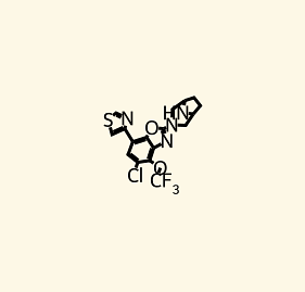 FC(F)(F)Oc1c(Cl)cc(-c2cscn2)c2oc(N3CC4CCC(C3)N4)nc12